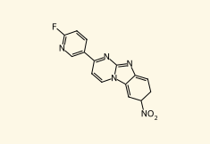 O=[N+]([O-])C1C=c2c(nc3nc(-c4ccc(F)nc4)ccn23)=CC1